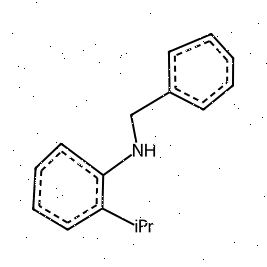 CC(C)c1ccccc1NCc1ccccc1